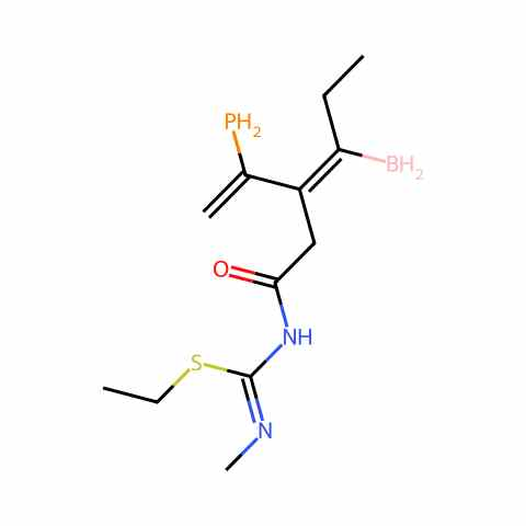 B/C(CC)=C(\CC(=O)N/C(=N/C)SCC)C(=C)P